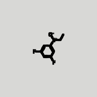 CC[S+]([O-])c1cc(F)cc(F)c1